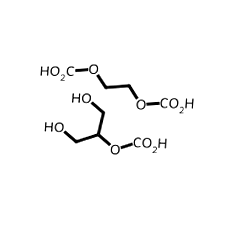 O=C(O)OC(CO)CO.O=C(O)OCCOC(=O)O